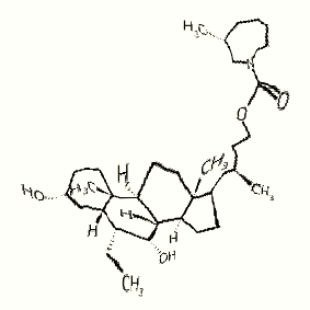 CC[C@H]1[C@@H](O)[C@@H]2[C@H](CC[C@]3(C)[C@@H]([C@H](C)CCOC(=O)N4CCC[C@@H](C)C4)CC[C@@H]23)[C@@]2(C)CC[C@@H](O)C[C@@H]12